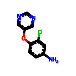 Nc1ccc(Oc2cncnc2)c(Cl)c1